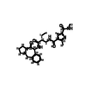 CC[C@H](CNC(=O)c1sc(C(=O)NC)nc1C)C(=O)N[C@@H]1C(=O)N2CCCN2Cc2ccccc21